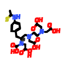 CC(=S)Nc1ccc(C[C@@H](CN(CCN(CC(=O)O)CC(=O)O)CC(=O)O)N(CC(=O)O)C(=O)O)cc1